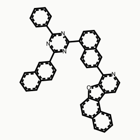 c1ccc(-c2nc(-c3ccc4ccccc4c3)nc(-c3cccc4cc(-c5nccc6c5oc5ccc7ccccc7c56)ccc34)n2)cc1